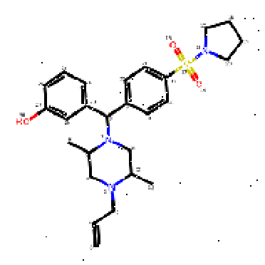 C=CCN1CC(C)N(C(c2ccc(S(=O)(=O)N3CCCC3)cc2)c2cccc(O)c2)CC1C